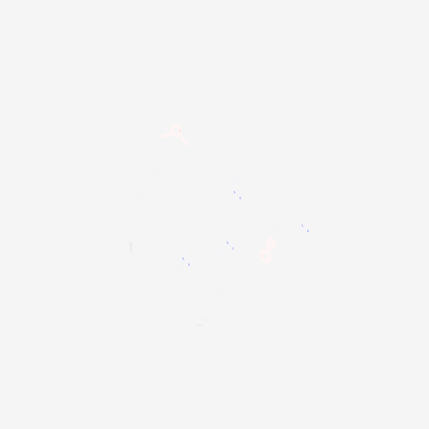 CCSc1nc(N[C@@H]2CCN(C)C2=O)c2c3c(c(Br)c(Cl)c2n1)COC3